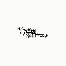 CC#CCC(C)[C@H](O)/C=C/C1[C@H](O)C[C@@H]2C/C(=C\CCCC(=O)O)C[C@H]12.[NaH]